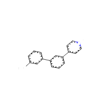 Cc1cccc(-c2cccc(-c3ccncc3)c2)c1